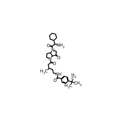 CC(CCNC(=O)c1ccc(C(C)(C)C)cc1)CC(=O)N1CCC2C1C(=O)CN2C(=O)C(N)C1CCCCC1